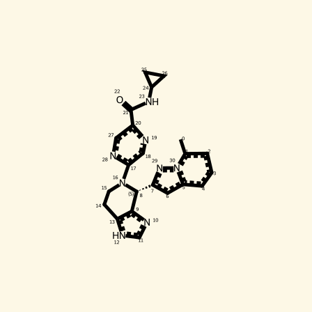 Cc1cccc2cc([C@@H]3c4nc[nH]c4CCN3c3cnc(C(=O)NC4CC4)cn3)nn12